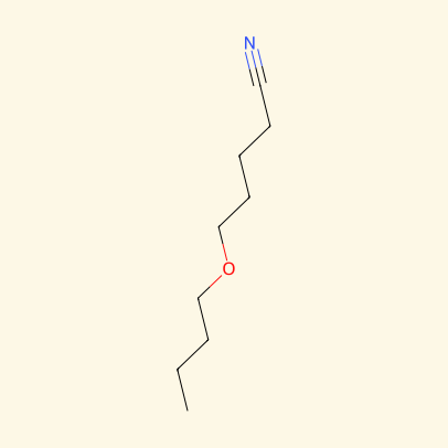 CCCCOCCCCC#N